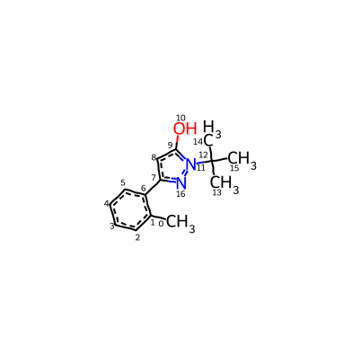 Cc1ccccc1-c1cc(O)n(C(C)(C)C)n1